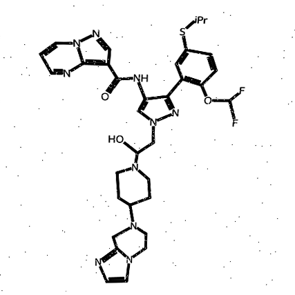 CC(C)Sc1ccc(OC(F)F)c(-c2nn(CC(O)N3CCC(N4CCn5ccnc5C4)CC3)cc2NC(=O)c2cnn3cccnc23)c1